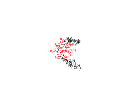 CC(=O)O.CC(=O)O.CC(=O)O.CC(=O)O.CC(=O)O.CC(=O)O.CC(=O)O.CC(=O)O.OC[C@H]1O[C@@H](O[C@H]2[C@H](O)[C@@H](O)[C@H](O)O[C@@H]2CO)[C@H](O)[C@@H](O)[C@@H]1O.OC[C@H]1O[C@@H](O[C@H]2[C@H](O)[C@@H](O)[C@H](O)O[C@@H]2CO)[C@H](O)[C@@H](O)[C@@H]1O